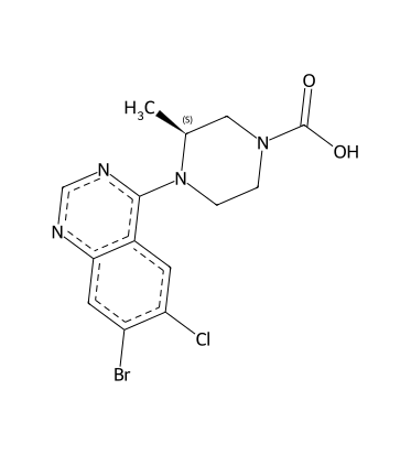 C[C@H]1CN(C(=O)O)CCN1c1ncnc2cc(Br)c(Cl)cc12